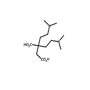 CN(C)CCC(CCN(C)C)(CC(=O)O)C(=O)O